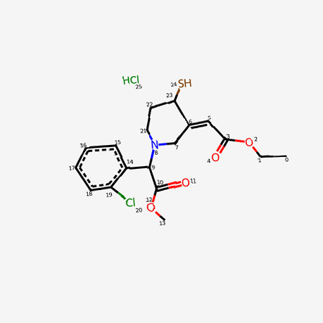 CCOC(=O)/C=C1\CN(C(C(=O)OC)c2ccccc2Cl)CCC1S.Cl